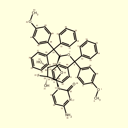 COc1ccc(C(OC([C@H]2O[C@@H](n3ccc(N)nc3=O)[C@@](O)(F)[C@@H]2O)C(c2ccccc2)(c2ccccc2)c2ccc(OC)cc2)(c2ccccc2)c2ccccc2)cc1